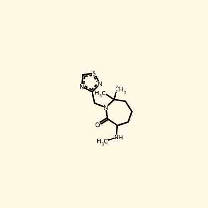 CNC1CCCC(C)(C)N(Cc2ncsn2)C1=O